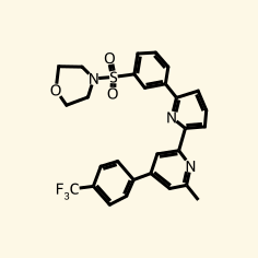 Cc1cc(-c2ccc(C(F)(F)F)cc2)cc(-c2cccc(-c3cccc(S(=O)(=O)N4CCOCC4)c3)n2)n1